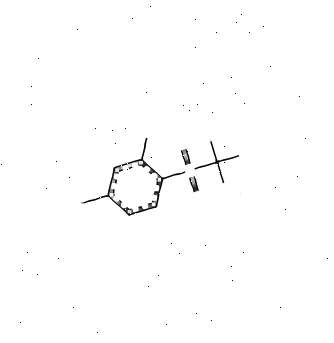 CC(C)(C(=O)O)S(=O)(=O)c1ccc(Cl)cc1F